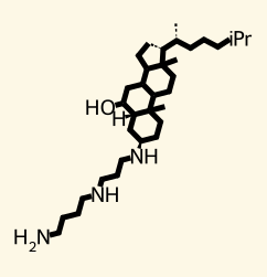 CC(C)CCC[C@@H](C)[C@H]1CCC2C3CC(O)[C@H]4C[C@H](NCCCNCCCCN)CCC4(C)C3CCC21C